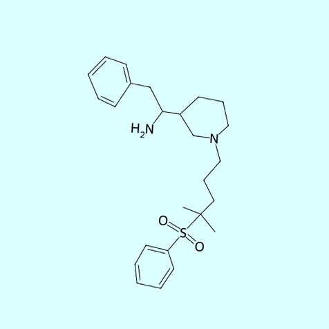 CC(C)(CCCN1CCCC(C(N)Cc2ccccc2)C1)S(=O)(=O)c1ccccc1